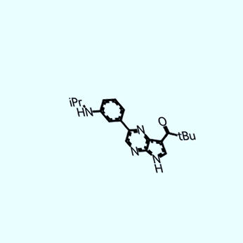 CC(C)Nc1cccc(-c2cnc3[nH]cc(C(=O)C(C)(C)C)c3n2)c1